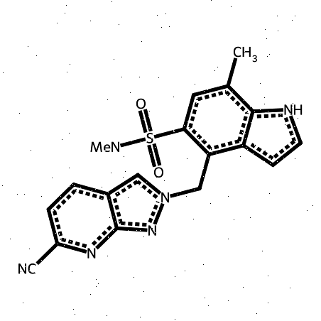 CNS(=O)(=O)c1cc(C)c2[nH]ccc2c1Cn1cc2ccc(C#N)nc2n1